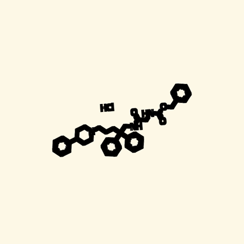 Cl.O=C(CNC(=O)OCc1ccccc1)NCC(CCCN1CCC(c2ccccc2)CC1)(c1ccccc1)c1ccccc1